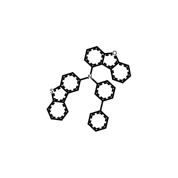 c1ccc(-c2cccc(N(c3ccc4sc5ccccc5c4c3)c3cccc4oc5ccccc5c34)c2)cc1